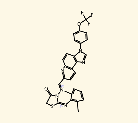 Cc1cccc(C)c1/N=C1/SCC(=O)N1/N=C/c1ccc2c(ccc3c2ncn3-c2ccc(OC(F)(F)F)cc2)n1